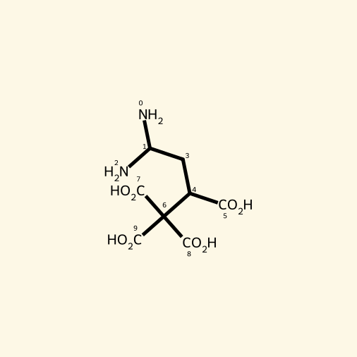 NC(N)CC(C(=O)O)C(C(=O)O)(C(=O)O)C(=O)O